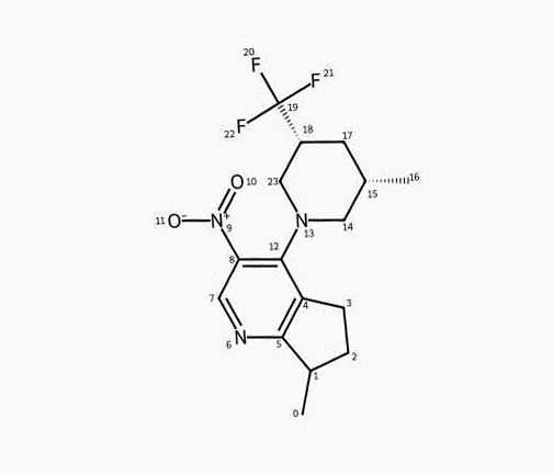 CC1CCc2c1ncc([N+](=O)[O-])c2N1C[C@@H](C)C[C@@H](C(F)(F)F)C1